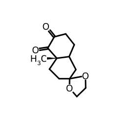 C[C@]12CCC3(CC1CCC(=O)C2=O)OCCO3